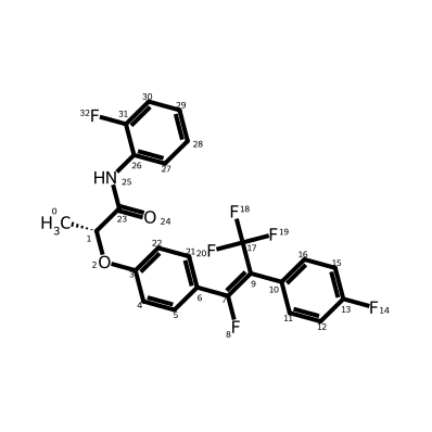 C[C@@H](Oc1ccc(/C(F)=C(/c2ccc(F)cc2)C(F)(F)F)cc1)C(=O)Nc1ccccc1F